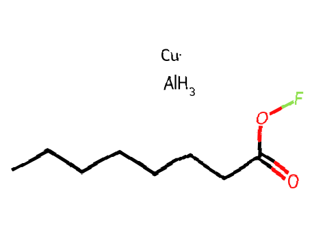 CCCCCCCC(=O)OF.[AlH3].[Cu]